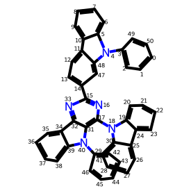 c1ccc(-n2c3ccccc3c3ccc(-c4nc(-n5c6ccccc6c6ccccc65)c5c(n4)c4ccccc4n5-c4ccccc4)cc32)cc1